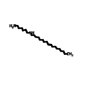 CCCCCCCCC=CCCCCCCCCNCCCCCCN